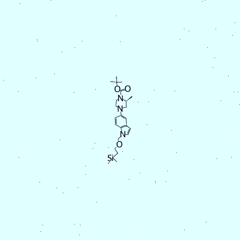 C[C@H]1CN(c2ccc3c(ccn3COCC[Si](C)(C)C)c2)CCN1C(=O)OC(C)(C)C